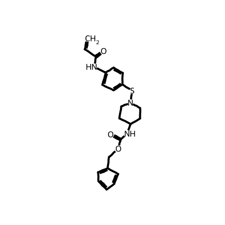 C=CC(=O)Nc1ccc(SN2CCC(NC(=O)OCc3ccccc3)CC2)cc1